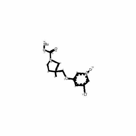 CC1(COc2cc(Cl)c[n+]([O-])c2)CCN(C(=O)OC(C)(C)C)C1